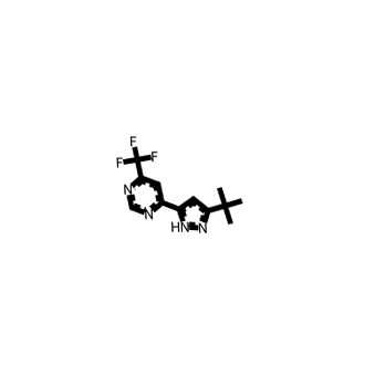 CC(C)(C)c1cc(-c2cc(C(F)(F)F)ncn2)[nH]n1